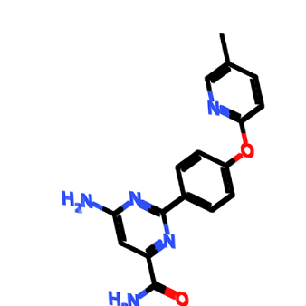 Cc1ccc(Oc2ccc(-c3nc(N)cc(C(N)=O)n3)cc2)nc1